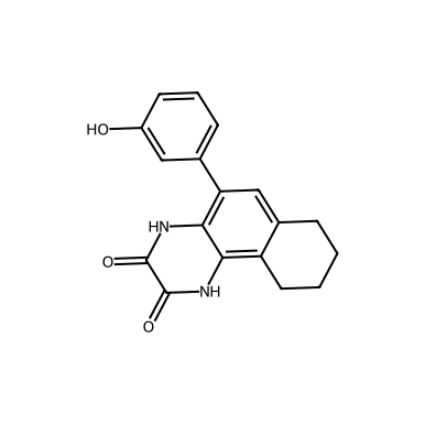 O=c1[nH]c2c(-c3cccc(O)c3)cc3c(c2[nH]c1=O)CCCC3